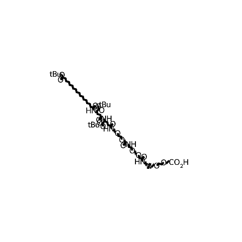 CC(C)(C)OC(=O)CCCCCCCCCCCCCCCCC(=O)NC(CCC(=O)NC(CCC(=O)NCCOCCOCC(=O)NCCOCCOCC(=O)NCC[N+](C)(C)CCOCCOCCC(=O)O)C(=O)OC(C)(C)C)C(=O)OC(C)(C)C